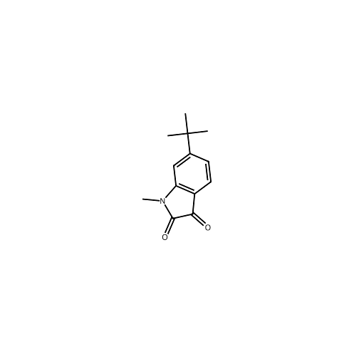 CN1C(=O)C(=O)c2ccc(C(C)(C)C)cc21